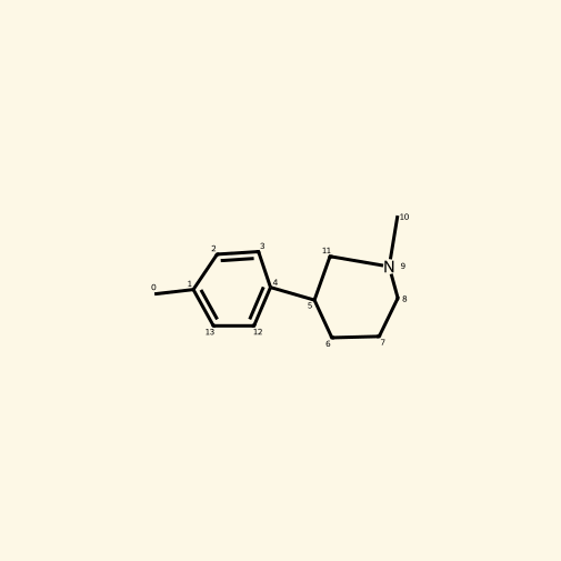 Cc1ccc(C2CCCN(C)C2)cc1